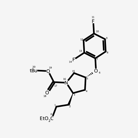 CCOC(=O)CC[C@@H]1C[C@@H](Oc2ccc(F)cc2F)CN1C(=O)OC(C)(C)C